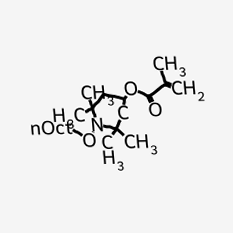 C=C(C)C(=O)OC1CC(C)(C)N(OCCCCCCCC)C(C)(C)C1